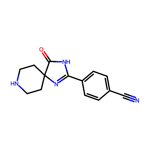 N#Cc1ccc(C2=NC3(CCNCC3)C(=O)N2)cc1